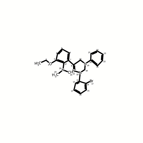 CCOc1cccc(C2=NN(c3ccccc3Br)CN(c3ccccc3)C2)c1N(C)C